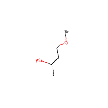 CC(C)OCC[C@H](C)O